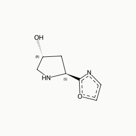 O[C@H]1CN[C@H](c2ncco2)C1